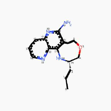 CCC[C@H]1COCc2c(N)nc3cccnc3c2N1